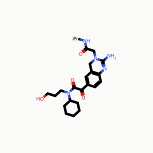 CC(C)NC(=O)CN1Cc2cc(C(=O)C(=O)N(CCCO)C3CCCCC3)ccc2N=C1N